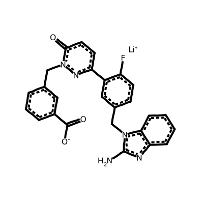 Nc1nc2ccccc2n1Cc1ccc(F)c(-c2ccc(=O)n(Cc3cccc(C(=O)[O-])c3)n2)c1.[Li+]